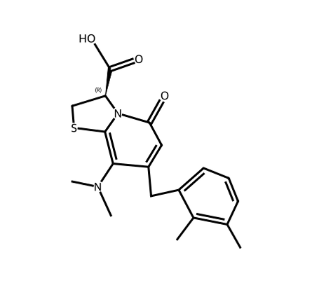 Cc1cccc(Cc2cc(=O)n3c(c2N(C)C)SC[C@H]3C(=O)O)c1C